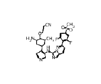 C[C@H]1C[C@@H](c2ccncc2Nc2ncc3ccc(-c4c(F)cc(S(C)(=O)=O)cc4F)nn23)C[C@@H](N)[C@H]1OCCC#N